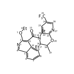 CCOc1ncc2ccccc2c1C(=O)N(CC)C(CC)C(C)Oc1ccc(C(F)(F)F)cn1